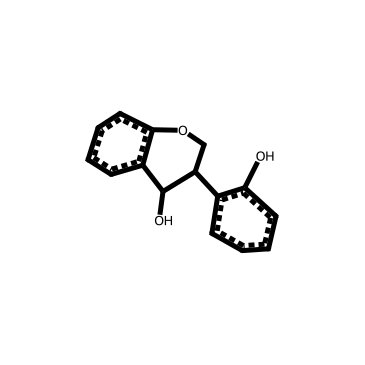 Oc1ccccc1C1COc2ccccc2C1O